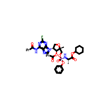 CC(C)C(=O)Nc1nc(F)nc2c1ncn2[C@@H]1CO[C@](C)(CO[P@@](=O)(N[C@@H](C)C(=O)OC2CCCCC2)Oc2ccccc2)[C@H]1OC(=O)C(C)C